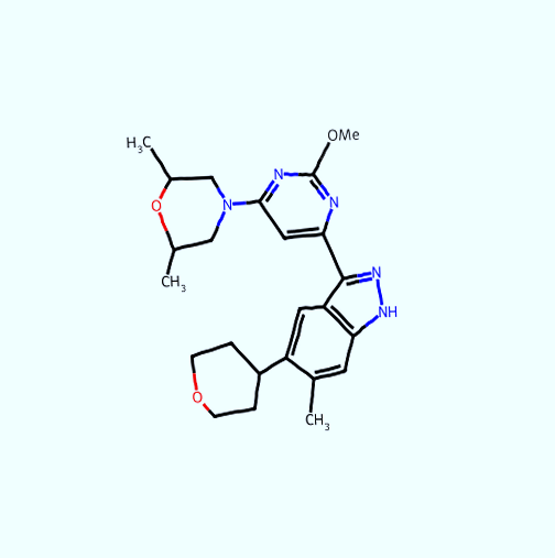 COc1nc(-c2n[nH]c3cc(C)c(C4CCOCC4)cc23)cc(N2CC(C)OC(C)C2)n1